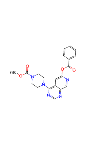 CC(C)(C)OC(=O)N1CCN(c2ncnc3cnc(OC(=O)c4ccccc4)cc23)CC1